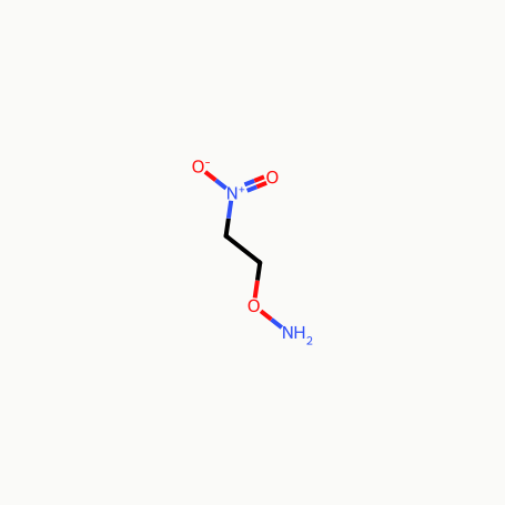 NOCC[N+](=O)[O-]